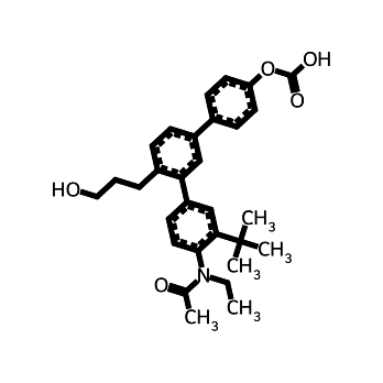 CCN(C(C)=O)c1ccc(-c2cc(-c3ccc(OC(=O)O)cc3)ccc2CCCO)cc1C(C)(C)C